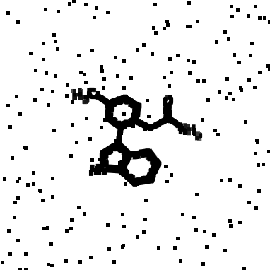 Cc1ccc(CC(N)=O)c(-c2c[nH]c3ccccc23)c1